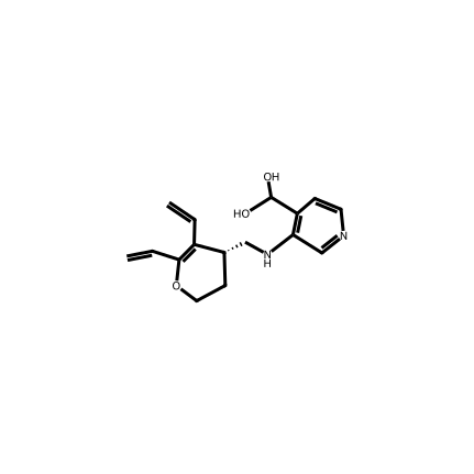 C=CC1=C(C=C)[C@H](CNc2cnccc2C(O)O)CCO1